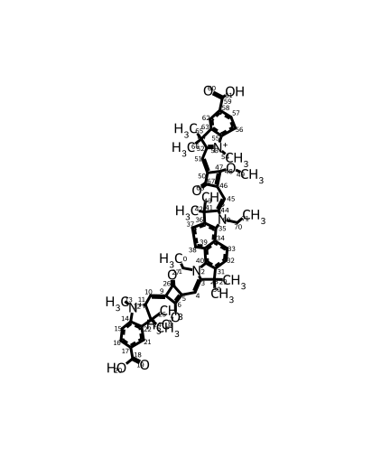 CCN1/C(=C\C2=C(OC)C(=C\C3=[N+](C)c4ccc(C(=O)O)cc4C3(C)C)/C2=O)C(C)(C)c2ccc3c4c(ccc3c21)C(C)(C)/C(=C\C1=C(OC)C(=C\C2=[N+](C)c3ccc(C(=O)O)cc3C2(C)C)/C1=O)N4CC